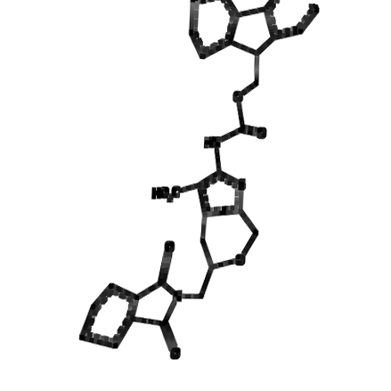 O=C(Nc1sc2c(c1C(=O)O)CC(CN1C(=O)c3ccccc3C1=O)OC2)OCC1c2ccccc2-c2ccccc21